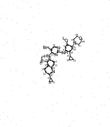 COc1cc(Nc2ncc(Br)c(Nc3ccc4nc(C5CC5)ccc4c3P(C)C)n2)c(C2CC2)cc1N1CCOCC1